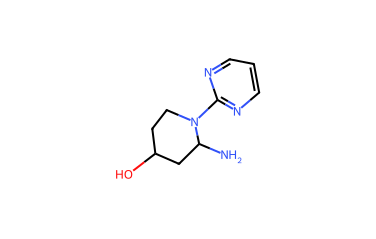 NC1CC(O)CCN1c1ncccn1